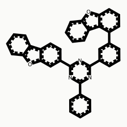 c1ccc(-c2nc(-c3cccc(-c4cccc5oc6ccccc6c45)c3)nc(-c3ccc4c(c3)oc3ccccc34)n2)cc1